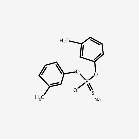 Cc1cccc(OP([O-])(=S)Oc2cccc(C)c2)c1.[Na+]